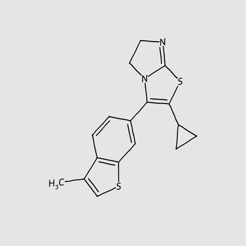 Cc1csc2cc(C3=C(C4CC4)SC4=NCCN43)ccc12